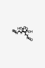 O=C=NCC/C(C(=O)O)=C(\CCN=C=O)C(=O)O